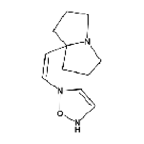 C1=CN(/C=C\C23CCCN2CCC3)ON1